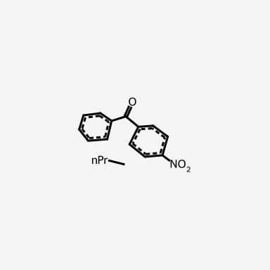 CCCC.O=C(c1ccccc1)c1ccc([N+](=O)[O-])cc1